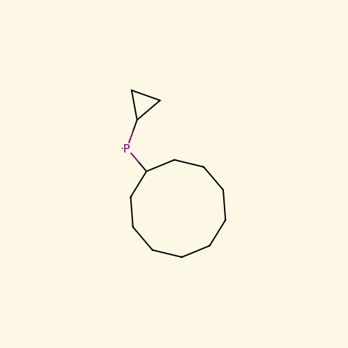 C1CCCCC([P]C2CC2)CCCC1